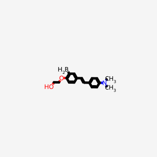 Bc1cc(/C=C/c2ccc(N(C)C)cc2)ccc1OCCO